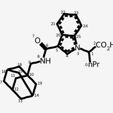 CCCC(C(=O)O)n1cc(C(=O)NCC23CC4CC(CC(C4)C2)C3)c2ccccc21